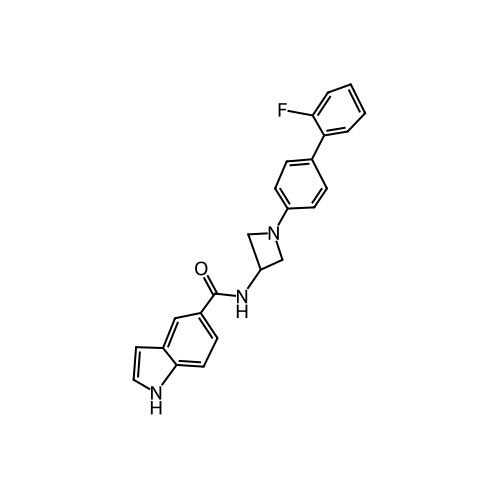 O=C(NC1CN(c2ccc(-c3ccccc3F)cc2)C1)c1ccc2[nH]ccc2c1